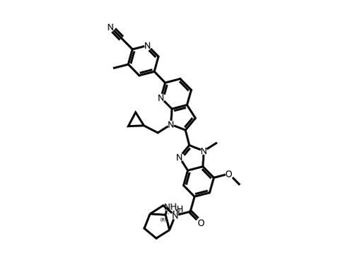 COc1cc(C(=O)N2CC3CCC2[C@@H]3N)cc2nc(-c3cc4ccc(-c5cnc(C#N)c(C)c5)nc4n3CC3CC3)n(C)c12